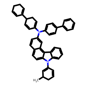 CC1C=C(n2c3ccccc3c3c4cc(N(C5=CCC(C6=CCCC=C6)C=C5)c5ccc(-c6ccccc6)cc5)ccc4ccc32)C=CC1